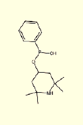 CC1(C)CC(OP(O)c2ccccc2)CC(C)(C)N1